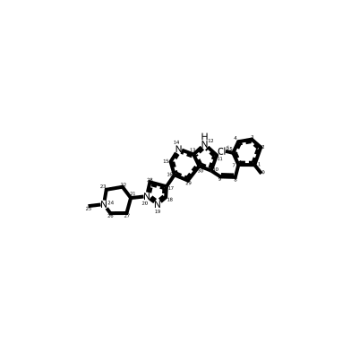 Cc1cccc(Cl)c1/C=C\c1c[nH]c2ncc(-c3cnn(C4CCN(C)CC4)c3)cc12